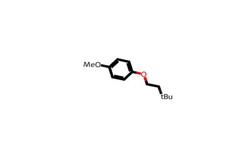 [CH2]C(C)(C)CCOc1ccc(OC)cc1